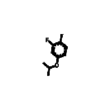 [CH2]c1ccc(OC(C)C)cc1F